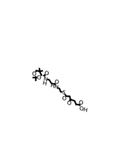 CC1(C)OCC(C)(C)[C@H](C(=O)NCCC(=O)NCCSC(=O)CC(=O)CCC(=O)O)O1